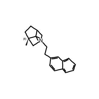 CC1(C)C2CC[C@@]1(C)CN(CCc1ccc3ccccc3c1)C2